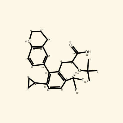 CC(C)(C)OC(Cc1c(C(F)(F)F)ccc(C2CC2)c1-c1ccc2c(c1)CCCO2)C(=O)O